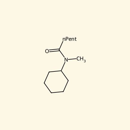 CCCCCC(=O)N(C)C1CCCCC1